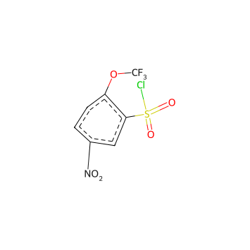 O=[N+]([O-])c1ccc(OC(F)(F)F)c(S(=O)(=O)Cl)c1